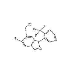 Fc1cc2c(cc1CCl)C(c1ccccc1C(F)(F)F)OC2